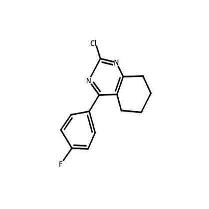 Fc1ccc(-c2nc(Cl)nc3c2CCCC3)cc1